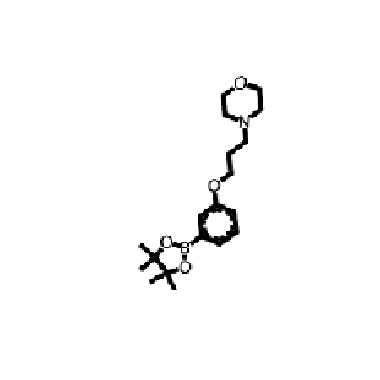 CC1(C)OB(c2cccc(OCCCN3CCOCC3)c2)OC1(C)C